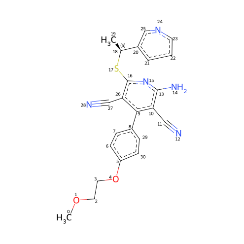 COCCOc1ccc(-c2c(C#N)c(N)nc(S[C@@H](C)c3cccnc3)c2C#N)cc1